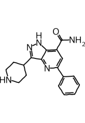 NC(=O)c1cc(-c2ccccc2)nc2c(C3CCNCC3)n[nH]c12